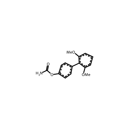 COc1cccc(OC)c1-c1ccc(OC(N)=O)cc1